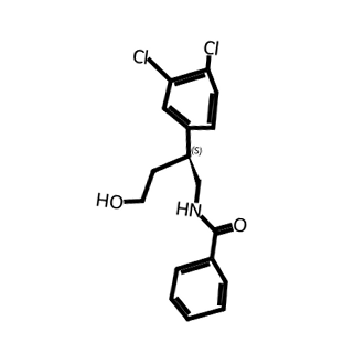 O=C(NC[C@@H](CCO)c1ccc(Cl)c(Cl)c1)c1ccccc1